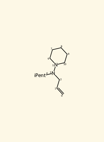 C=CCN(C(C)CCC)N1CCCCC1